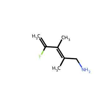 C=C(F)/C(C)=C(\C)CN